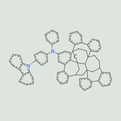 c1ccc(N(c2ccc(-n3c4ccccc4c4ccccc43)cc2)c2ccc3c(c2)-c2ccccc2C2CC45CC(CCC67CCC(CC3(C2)C64)c2ccccc2-c2ccccc27)c2ccccc2-c2ccccc25)cc1